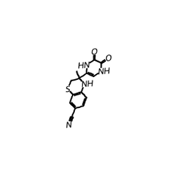 CC1(c2c[nH]c(=O)c(=O)[nH]2)CSc2cc(C#N)ccc2N1